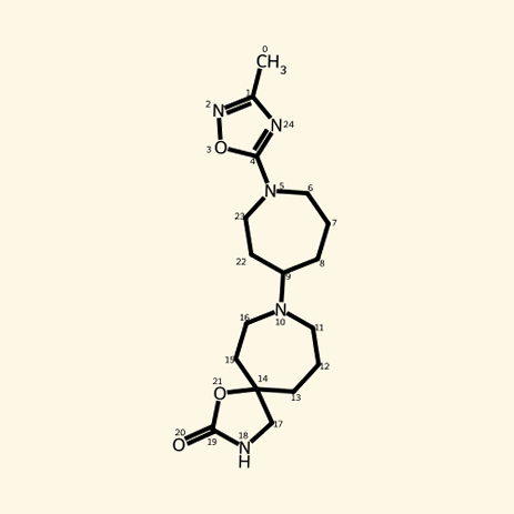 Cc1noc(N2CCCC(N3CCCC4(CC3)CNC(=O)O4)CC2)n1